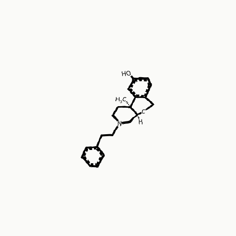 C[C@@]12CCN(CCc3ccccc3)C[C@@H]1CCc1ccc(O)cc12